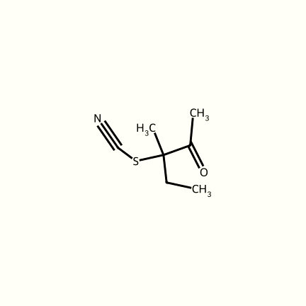 CCC(C)(SC#N)C(C)=O